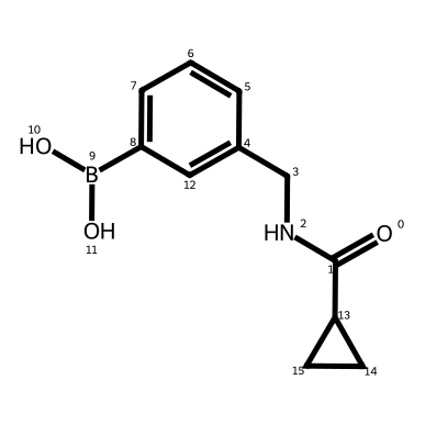 O=C(NCc1cccc(B(O)O)c1)C1CC1